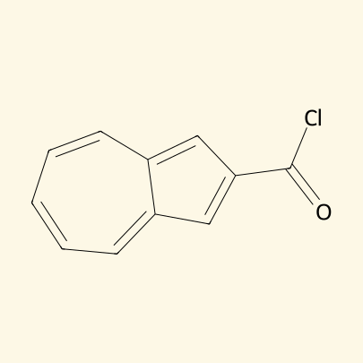 O=C(Cl)c1cc2cccccc-2c1